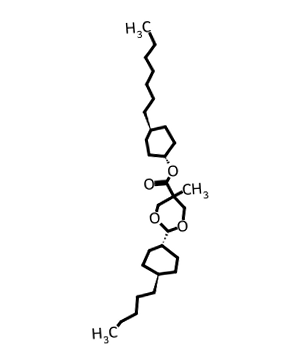 CCCCCCC[C@H]1CC[C@H](OC(=O)C2(C)COC([C@H]3CC[C@H](CCCCC)CC3)OC2)CC1